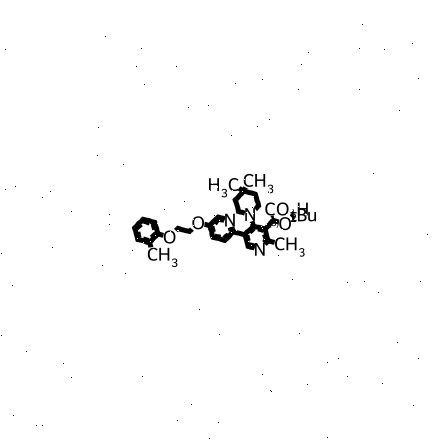 Cc1ccccc1OCCOc1ccc(-c2cnc(C)c([C@H](OC(C)(C)C)C(=O)O)c2N2CCC(C)(C)CC2)nc1